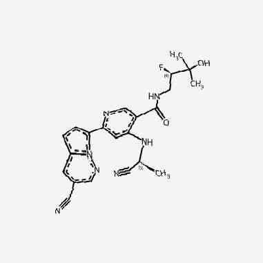 C[C@@H](C#N)Nc1cc(-c2ccc3cc(C#N)cnn23)ncc1C(=O)NC[C@@H](F)C(C)(C)O